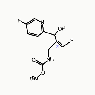 CC(C)(C)OC(=O)NC/C(=C/F)C(O)c1ccc(F)cn1